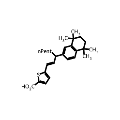 CCCCCC(C=Cc1ccc(C(=O)O)s1)c1ccc2c(c1)C(C)(C)CCC2(C)C